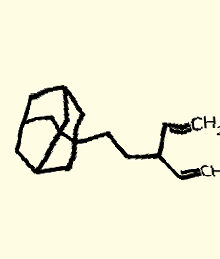 [CH]=CC(C=C)CCC12CC3CC(CC(C3)C1)C2